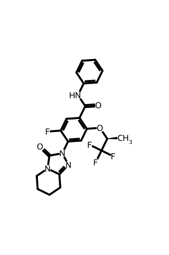 C[C@H](Oc1cc(-n2nc3n(c2=O)CCCC3)c(F)cc1C(=O)Nc1ccccc1)C(F)(F)F